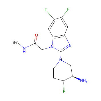 CC(C)NC(=O)Cn1c(N2CC[C@@H](F)[C@H](N)C2)nc2cc(F)c(F)cc21